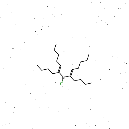 CCCCC=C(CCCC)B(Cl)C(=CCCCC)CCCC